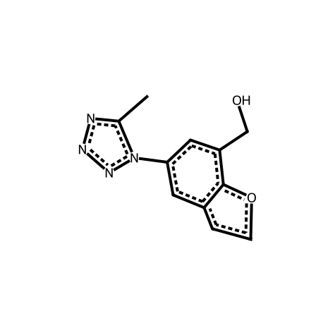 Cc1nnnn1-c1cc(CO)c2occc2c1